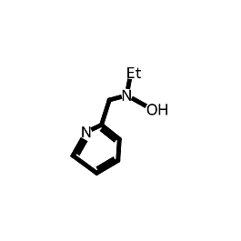 CCN(O)Cc1ccccn1